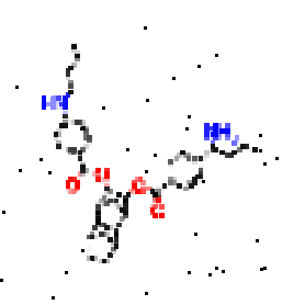 CCCCNc1ccc(C(=O)OC2C3CC(C2OC(=O)c2ccc(C(N)CCC)cc2)C2C4CCC(C4)C32)cc1